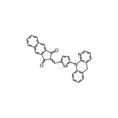 O=C1C(=Cc2ccc(N3c4ccccc4Cc4cccnc43)[se]2)C(=O)c2cc3ccccc3cc21